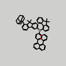 CC1(C)c2ccccc2-c2c(N(c3ccc(-c4cccc5cccc(-c6ccccc6)c45)cc3)c3ccc4c(c3)-c3cccc(C56CC7CC(CC(C7)C5)C6)c3C4(C)C)cccc21